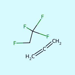 C=C=C.FCC(F)(F)F